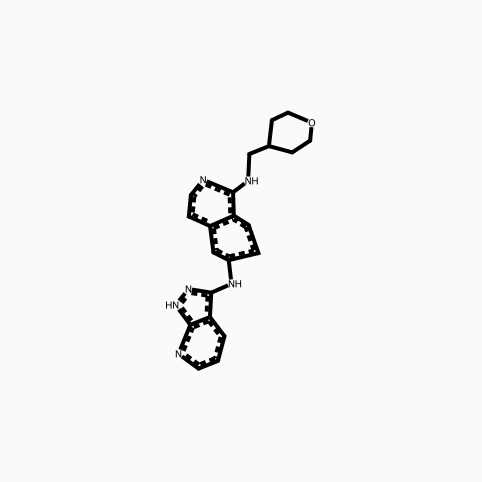 c1cnc2[nH]nc(Nc3ccc4c(NCC5CCOCC5)nccc4c3)c2c1